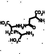 CC(C)C(N)C(=O)O.CC(N)C(=O)O.NC(=O)CC(N)C(=O)O